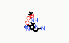 COc1c(C(C)(CNC(=O)OC(C)(C)C)c2cccc(C#N)n2)c(C)nn1C